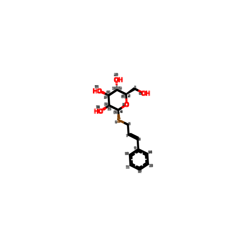 OC[C@H]1O[C@@H](SCC=Cc2ccccc2)[C@@H](O)[C@@H](O)[C@@H]1O